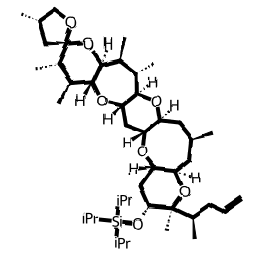 C=CC[C@@H](C)[C@]1(C)O[C@@H]2C[C@H](C)C[C@@H]3O[C@@H]4[C@@H](C)[C@H](C)[C@@H]5O[C@]6(C[C@H](C)CO6)[C@@H](C)[C@H](C)[C@H]5O[C@H]4C[C@H]3O[C@H]2C[C@H]1O[Si](C(C)C)(C(C)C)C(C)C